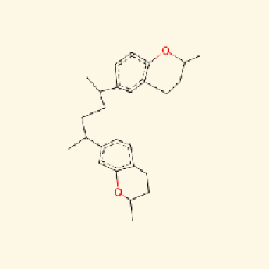 CC1CCc2cc(C(C)CCC(C)c3ccc4c(c3)OC(C)CC4)ccc2O1